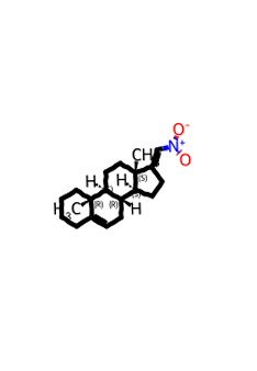 C[C@]12CCCCC1=CC[C@@H]1[C@@H]2CC[C@]2(C)C(=C[N+](=O)[O-])CC[C@@H]12